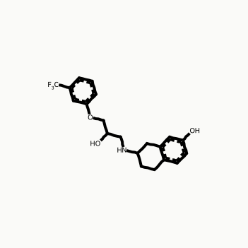 Oc1ccc2c(c1)CC(NCC(O)COc1cccc(C(F)(F)F)c1)CC2